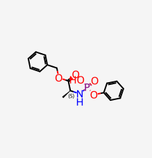 C[C@H](NP(=O)(O)Oc1ccccc1)C(=O)OCc1ccccc1